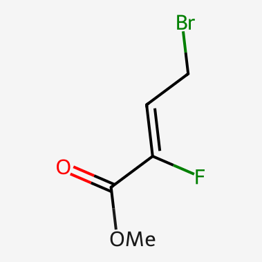 COC(=O)C(F)=CCBr